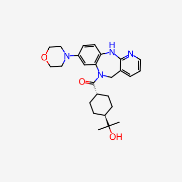 CC(C)(O)[C@H]1CC[C@H](C(=O)N2Cc3cccnc3Nc3ccc(N4CCOCC4)cc32)CC1